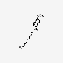 CCCCCCCCCCCC(=O)c1ccc2cc(OC)ccc2c1